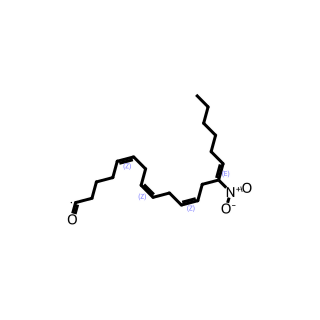 CCCCC/C=C(\C/C=C\C/C=C\C/C=C\CCC[C]=O)[N+](=O)[O-]